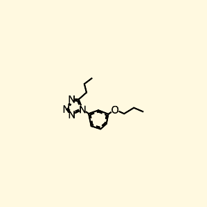 CCCOc1cccc(-n2nnnc2CCC)c1